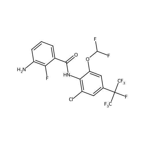 Nc1cccc(C(=O)Nc2c(Cl)cc(C(F)(C(F)(F)F)C(F)(F)F)cc2OC(F)F)c1F